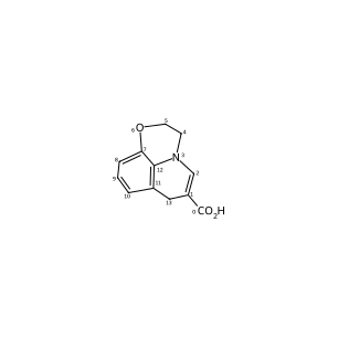 O=C(O)C1=CN2CCOc3cccc(c32)C1